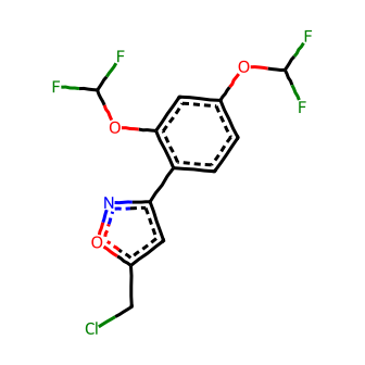 FC(F)Oc1ccc(-c2cc(CCl)on2)c(OC(F)F)c1